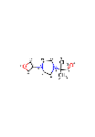 CC(C)(C=O)N1CCN(C2COC2)CC1